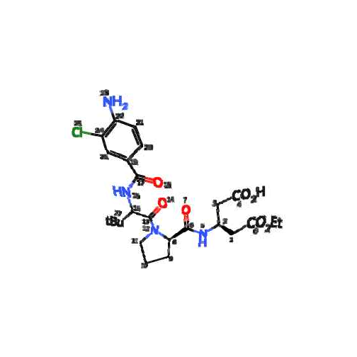 CCOC(=O)C[C@H](CC(=O)O)NC(=O)[C@H]1CCCN1C(=O)C(NC(=O)c1ccc(N)c(Cl)c1)C(C)(C)C